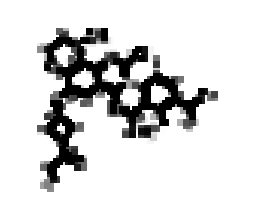 Cc1nc(N[C@H](C)c2cccc(C(F)F)c2F)c2cc(OC3CN(C(=O)CF)C3)c3c(c2n1)N(C)CCO3